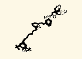 CCC(CC)(CC(=O)Nc1cccc(C=Cc2cccc(CCCCCCc3cc(C(C)(C)C)c(O)c(C(C)(C)C)c3)n2)c1)C(=O)O